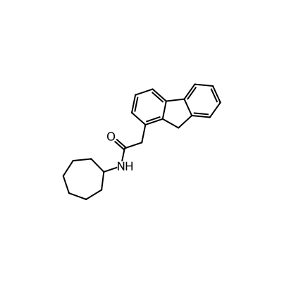 O=C(Cc1cccc2c1Cc1ccccc1-2)NC1CCCCCC1